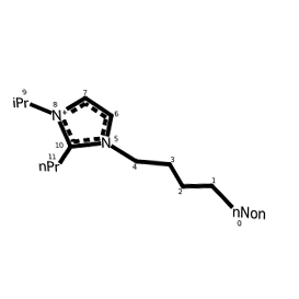 CCCCCCCCCCCCCn1cc[n+](C(C)C)c1CCC